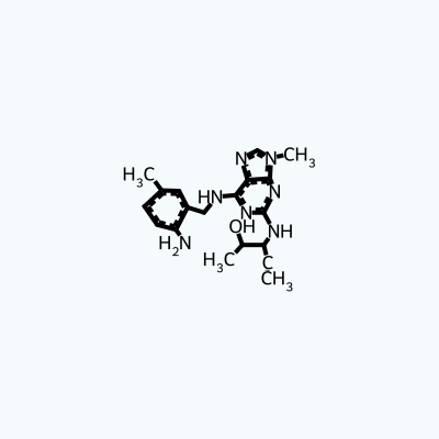 CCC(Nc1nc(NCc2cc(C)ccc2N)c2ncn(C)c2n1)C(C)O